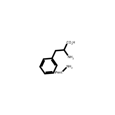 CCCCCN.NC(Cc1ccccc1)C(=O)O